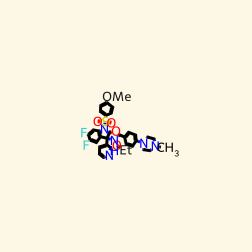 CCOc1ncccc1C1(NCc2ccc(N3CCN(C)CC3)cc2)C(=O)N(S(=O)(=O)c2ccc(OC)cc2)c2cc(F)c(F)cc21